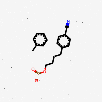 Cc1ccccc1.N#Cc1ccc(CCCCO[SH](=O)=O)cc1